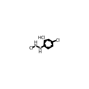 Cl.ClNNc1ccc(Cl)cc1